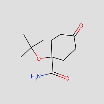 CC(C)(C)OC1(C(N)=O)CCC(=O)CC1